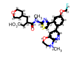 CN1CCOc2cc(-c3ccc(OCF)cc3-c3csc(N(C)C(=O)C(CC(=O)O)CC4CCOCC4)n3)cnc21